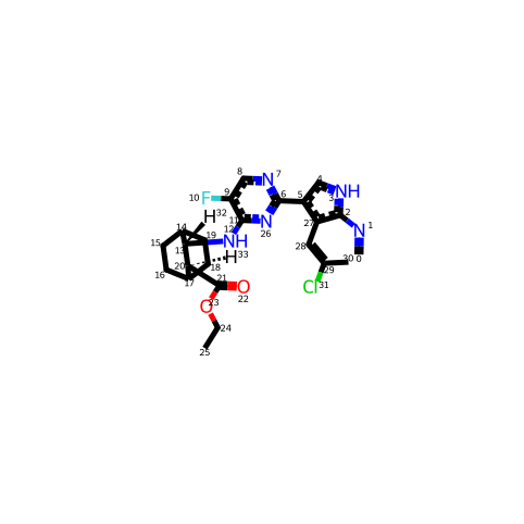 C=Nc1[nH]cc(-c2ncc(F)c(N[C@H]3C4CCC(CC4)[C@@H]3C(=O)OCC)n2)c1/C=C(\C)Cl